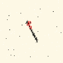 C=C(C)C(=O)OCCOCCCCCCCCCCCCC